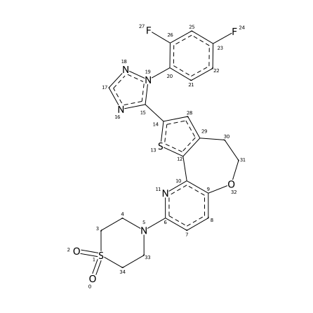 O=S1(=O)CCN(c2ccc3c(n2)-c2sc(-c4ncnn4-c4ccc(F)cc4F)cc2CCO3)CC1